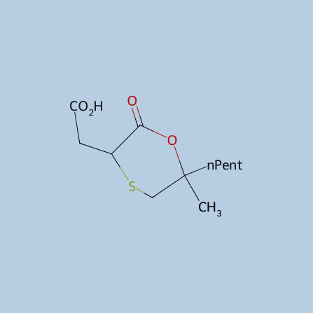 CCCCCC1(C)CSC(CC(=O)O)C(=O)O1